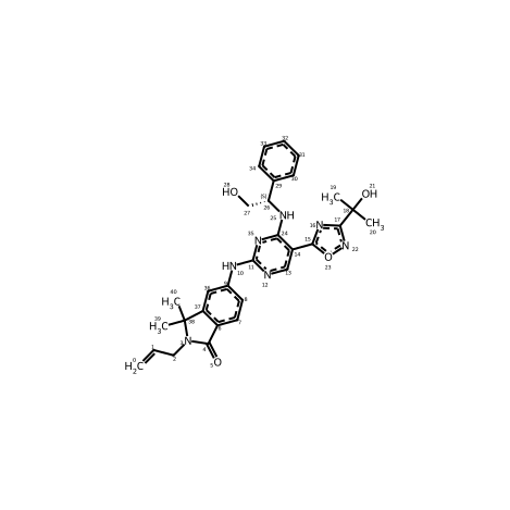 C=CCN1C(=O)c2ccc(Nc3ncc(-c4nc(C(C)(C)O)no4)c(N[C@H](CO)c4ccccc4)n3)cc2C1(C)C